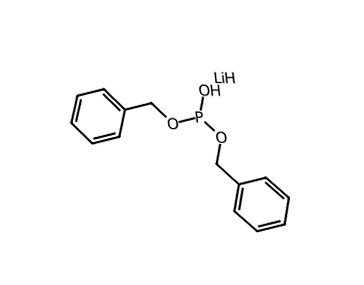 OP(OCc1ccccc1)OCc1ccccc1.[LiH]